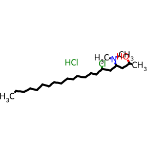 CCCCCCCCCCCCCCCC(Cl)CC(CC(C)O)N(C)C.Cl